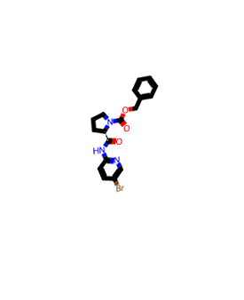 O=C(Nc1ccc(Br)cn1)[C@@H]1CCCN1C(=O)OCc1ccccc1